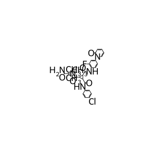 CN(C(=O)C1C(C(=O)Nc2ccc(Cl)cc2)C1C(=O)Nc1ccc(-n2ccccc2=O)cc1F)C(C)(C)C(N)=O